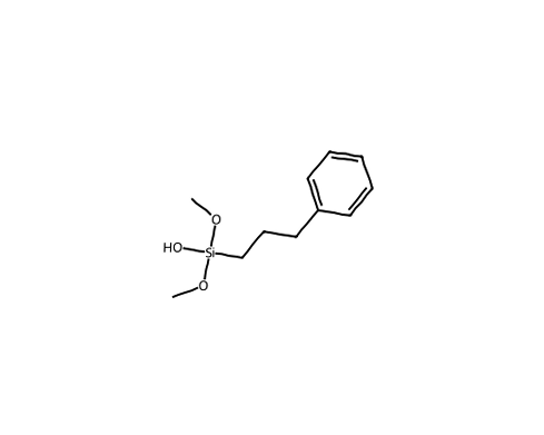 CO[Si](O)(CCCc1ccccc1)OC